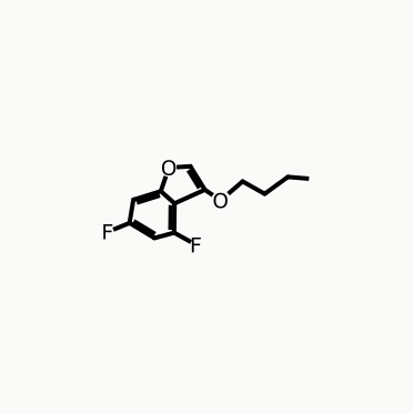 CCCCOc1coc2cc(F)cc(F)c12